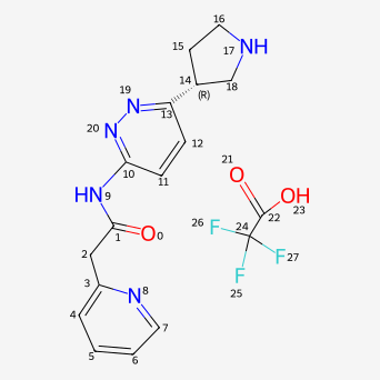 O=C(Cc1ccccn1)Nc1ccc([C@@H]2CCNC2)nn1.O=C(O)C(F)(F)F